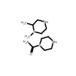 CC1CNCCN1C.NC(=O)N1CCNCC1